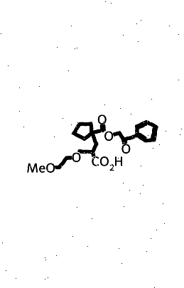 COCCOCC(CC1(C(=O)OCC(=O)c2ccccc2)CCCC1)C(=O)O